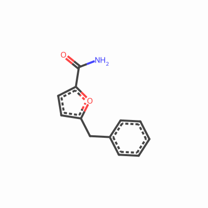 NC(=O)c1ccc(Cc2ccccc2)o1